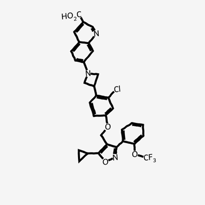 O=C(O)c1cnc2cc(N3CC(c4ccc(OCc5c(-c6ccccc6OC(F)(F)F)noc5C5CC5)cc4Cl)C3)ccc2c1